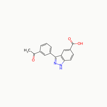 CC(=O)c1cccc(-c2n[nH]c3ccc(C(=O)O)cc23)c1